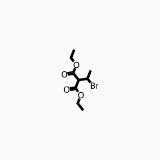 CCOC(=O)C(C(=O)OCC)C(C)Br